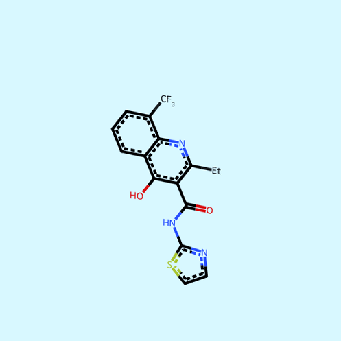 CCc1nc2c(C(F)(F)F)cccc2c(O)c1C(=O)Nc1nccs1